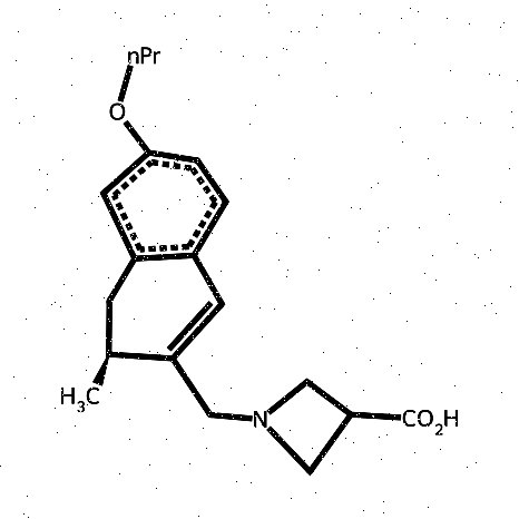 CCCOc1ccc2c(c1)C[C@H](C)C(CN1CC(C(=O)O)C1)=C2